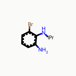 CC(C)Nc1c(N)cccc1Br